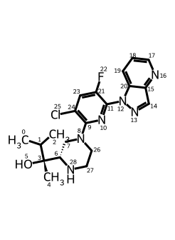 CC(C)[C@@](C)(O)[C@@H]1CN(c2nc(-n3ncc4ncccc43)c(F)cc2Cl)CCN1